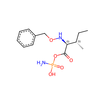 CC[C@H](C)[C@H](NOCc1ccccc1)C(=O)OP(N)(=O)O